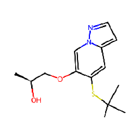 C[C@H](O)COc1cn2nccc2cc1SC(C)(C)C